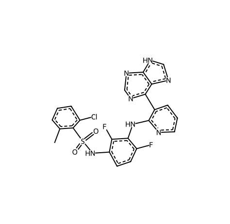 Cc1cccc(Cl)c1S(=O)(=O)Nc1ccc(F)c(Nc2ncccc2-c2ncnc3[nH]cnc23)c1F